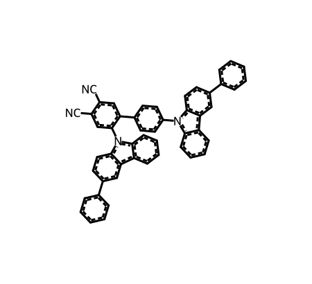 N#Cc1cc(-c2ccc(-n3c4ccccc4c4cc(-c5ccccc5)ccc43)cc2)c(-n2c3ccccc3c3cc(-c4ccccc4)ccc32)cc1C#N